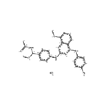 COc1cccc2c(Nc3ccc(Cl)cc3)nc(Nc3ccc(C(NC(C)=O)OC)cc3)nc12.Cl